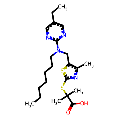 CCCCCCCN(Cc1sc(SC(C)(C)C(=O)O)nc1C)c1ncc(CC)cn1